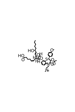 CCCCC[C@H](O)/C=C/[C@H]1O[C@H]2C[C@H](O2)[C@@H]1C/C=C\CCCC(=O)O.COc1ccc([C@@H]2Sc3ccccc3N(CCN(C)C)C(=O)[C@@H]2OC(C)=O)cc1